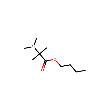 CCCCOC(=O)[C](C)(C)[Sb]([CH3])[CH3]